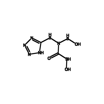 O=C(BO)N(BO)Bc1nnn[nH]1